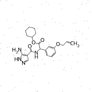 C=CCOc1cccc(C(NC(=O)c2cn[nH]c2N)C(=O)OC2CCCCC2)c1